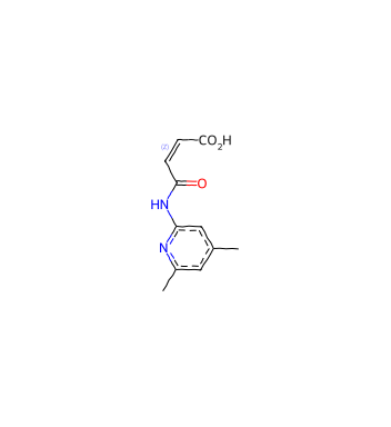 Cc1cc(C)nc(NC(=O)/C=C\C(=O)O)c1